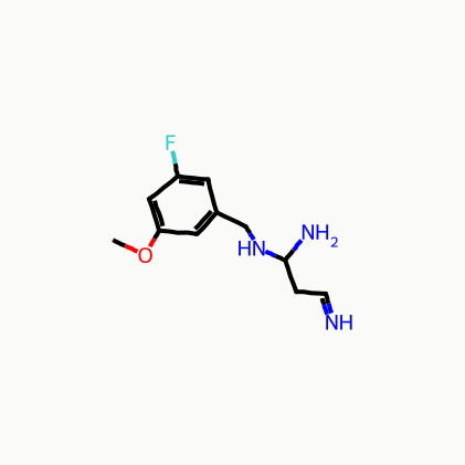 COc1cc(F)cc(CNC(N)CC=N)c1